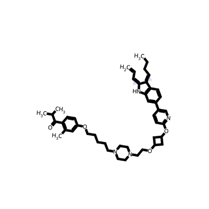 C=C/C=c1/[nH]c2cc(-c3ccc(OC4CC(OCCN5CCN(CCCCCOc6ccc(C(=O)C(C)C)c(C)c6)CC5)C4)nc3)ccc2/c1=C/CCC